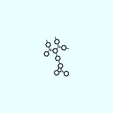 Cc1ccc(N(c2ccccc2)c2cc(-c3ccc(-c4ccc5c(c4)c4ccccc4n5-c4ccccc4)cc3)cc(N(c3ccc(C)cc3)c3ccc(C)cc3)c2)cc1